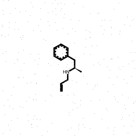 C=CCN[C@H](C)Cc1ccccc1